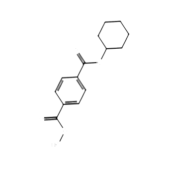 O=C(OO)c1ccc(C(=O)OC2CCCCC2)cc1